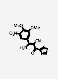 COc1cc(/C(N)=C(\C#N)C(=O)c2cscn2)cc([N+](=O)[O-])c1OC